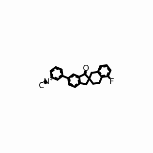 [C-]#[N+]c1cccc(-c2ccc3c(c2)C(=O)C2(CCc4c(F)cccc4C2)C3)c1